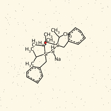 CC(C)[Si](Cc1ccccc1)(C(C)C)[SiH]([Na])[Si](Cc1ccccc1)(C(C)C)C(C)C